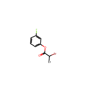 CCC(Br)C(=O)Oc1cccc(F)c1